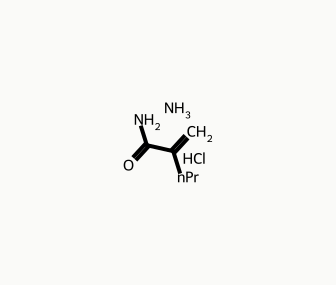 C=C(CCC)C(N)=O.Cl.N